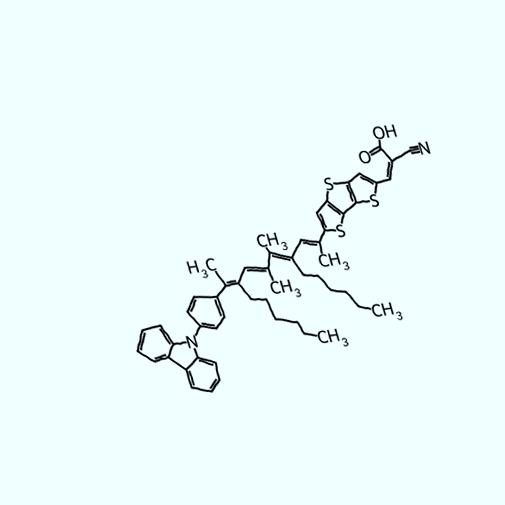 CCCCCCC(/C=C(\C)c1cc2sc3cc(/C=C(/C#N)C(=O)O)sc3c2s1)=C(C)\C(C)=C\C(CCCCCC)=C(/C)c1ccc(-n2c3ccccc3c3ccccc32)cc1